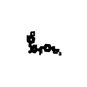 Cc1cc(/C(F)=C/c2ccc(SC(F)(F)F)cc2)nn1Cc1ccc(Cl)nc1